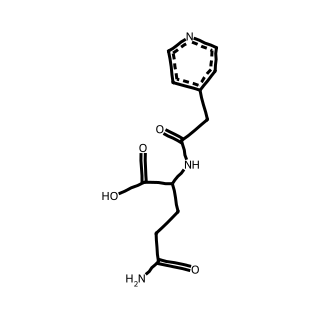 NC(=O)CCC(NC(=O)Cc1ccncc1)C(=O)O